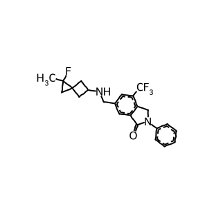 CC1(F)CC12CC(NCc1cc3c(c(C(F)(F)F)c1)CN(c1ccccc1)C3=O)C2